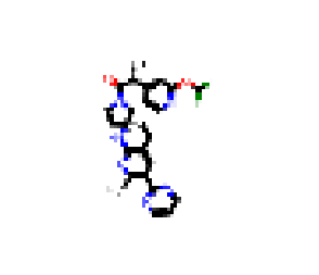 Cc1nc2c(cc1-c1ncccn1)CC[C@@]1(CCN(C(=O)[C@@H](C)c3ccnc(OC(F)F)c3)C1)N2